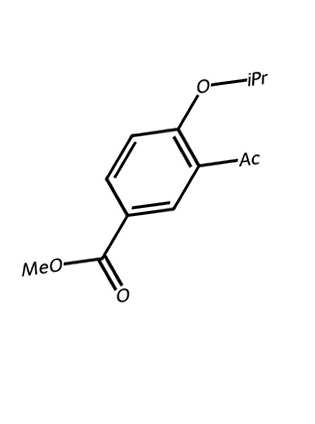 COC(=O)c1ccc(OC(C)C)c(C(C)=O)c1